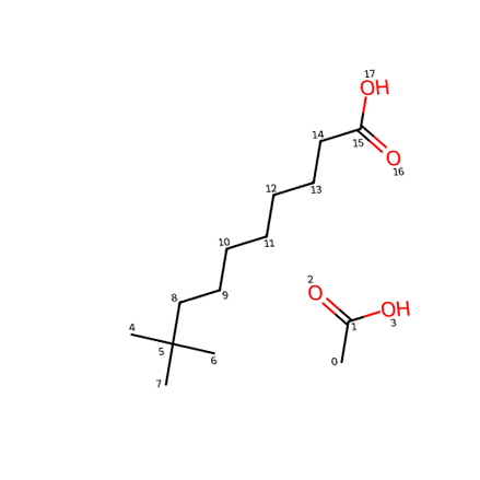 CC(=O)O.CC(C)(C)CCCCCCCC(=O)O